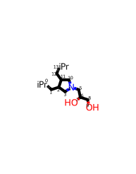 CC(C)CC1CN(CC(O)CO)CC1CC(C)C